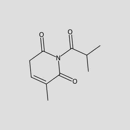 CC1=CCC(=O)N(C(=O)C(C)C)C1=O